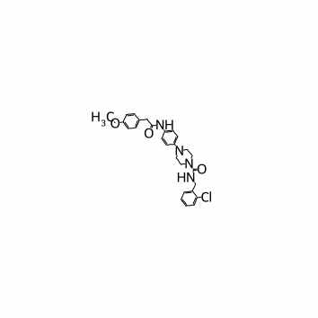 COc1ccc(CC(=O)Nc2ccc(N3CCN(C(=O)NCc4ccccc4Cl)CC3)cc2)cc1